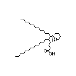 CCCCCCCCCCCCCC(CCCC(=O)O)C(CCCCCCCCCCCC)[SiH]1CCCCO1